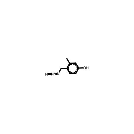 Cc1cc(O)ccc1CN=[N+]=[N-]